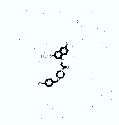 Nc1ccc2c(OCC(=O)N3CCN(Cc4ccc(Cl)cc4)CC3)cc(S(=O)(=O)O)cc2c1